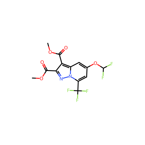 COC(=O)c1nn2c(C(F)(F)F)cc(OC(F)F)cc2c1C(=O)OC